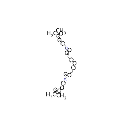 C=C(C)C(=O)OCOc1ccc(/C=C/C(=O)OCCc2ccc(Oc3ccc(CCOC(=O)/C=C/c4ccc(OCOC(=O)C(=C)C)cc4)cc3)cc2)cc1